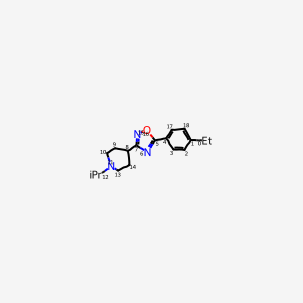 CCc1ccc(-c2nc(C3CCN(C(C)C)CC3)no2)cc1